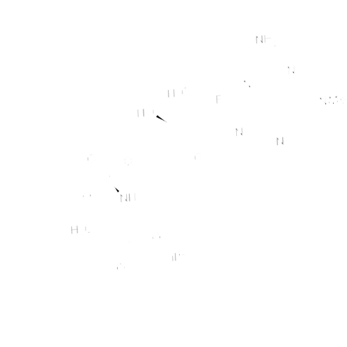 CNc1nc(N)nc2c1ncn2[C@@H]1O[C@H](CO[P@](=O)(NC(C)C(=O)OC(C)C)Oc2ccccc2)[C@@H](O)[C@@]1(C)F